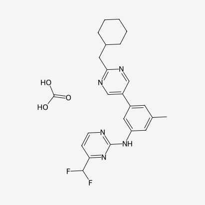 Cc1cc(Nc2nccc(C(F)F)n2)cc(-c2cnc(CC3CCCCC3)nc2)c1.O=C(O)O